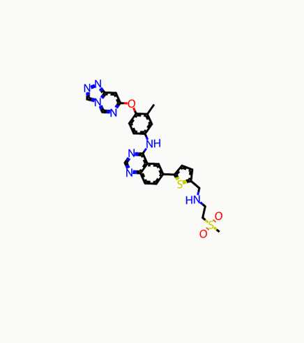 Cc1cc(Nc2ncnc3ccc(-c4ccc(CNCCS(C)(=O)=O)s4)cc23)ccc1Oc1cc2nncn2cn1